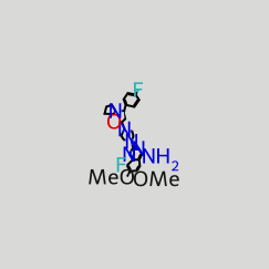 COc1cc2c(N)nc(N3CCN(C(=O)C[C@H](c4ccc(F)cc4)N4CCCC4)CC3)nc2c(F)c1OC